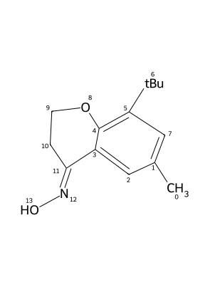 Cc1cc2c(c(C(C)(C)C)c1)OCCC2=NO